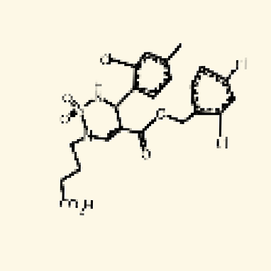 Cc1ccc(C2NS(=O)(=O)N(CCCC(=O)O)C=C2C(=O)OCc2ccc(Cl)cc2Cl)c(Cl)c1